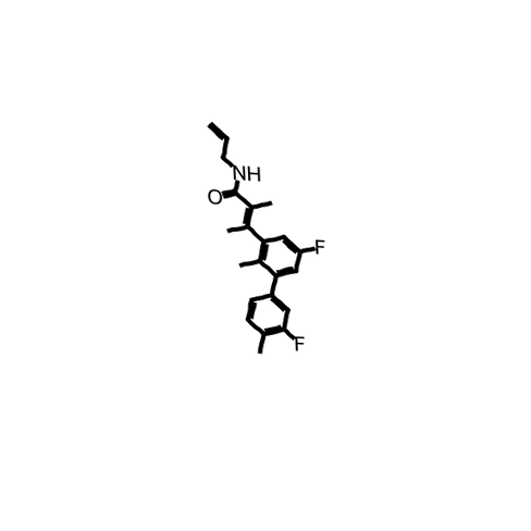 C=CCNC(=O)/C(C)=C(\C)c1cc(F)cc(-c2ccc(C)c(F)c2)c1C